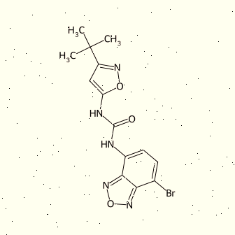 CC(C)(C)c1cc(NC(=O)Nc2ccc(Br)c3nonc23)on1